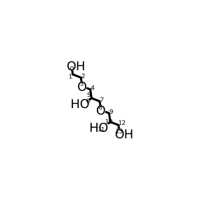 OCCOCC(O)COCC(O)CO